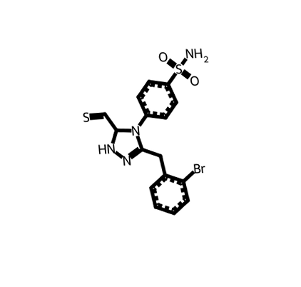 NS(=O)(=O)c1ccc(N2C(Cc3ccccc3Br)=NNC2C=S)cc1